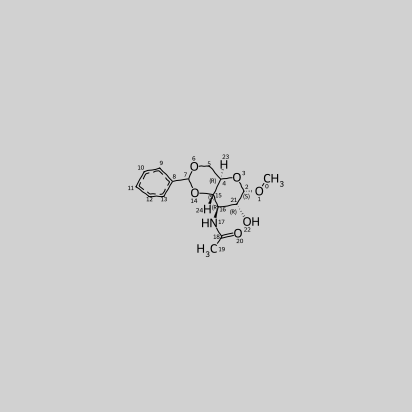 CO[C@H]1O[C@@H]2COC(c3ccccc3)O[C@H]2[C@H](NC(C)=O)[C@H]1O